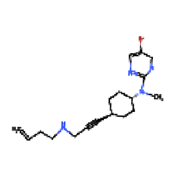 C=CCCNCC#C[C@H]1CC[C@H](N(C)c2ncc(Br)cn2)CC1